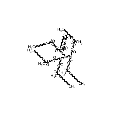 CCCCCCCCSCC(C)C(=O)OCCOC(=O)CCN(CCC(=O)OCCOC(=O)C(C)CSCCCCCCCC)CCN(CCN(CCC(=O)OCCOC(=O)C(C)CSCCCCCCCC)CCC(=O)OCCOC(=O)C(C)CSCCCCCCCC)CCN(CCC(=O)OCCOC(=O)C(C)CSCCCCCCCC)CCC(=O)OCCOC(=O)C(C)CSCCCCCCCC